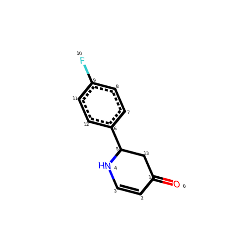 O=C1C=CNC(c2ccc(F)cc2)C1